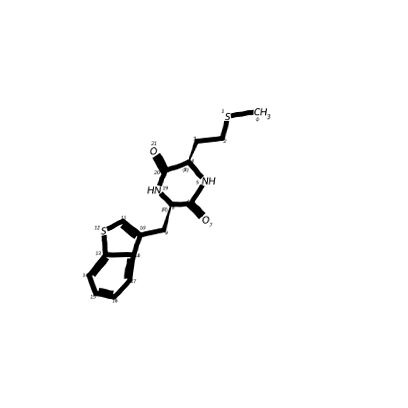 CSCC[C@H]1NC(=O)[C@@H](Cc2csc3ccccc23)NC1=O